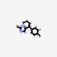 Cc1ccc(C2=CCCn3c2cnc3C)cc1